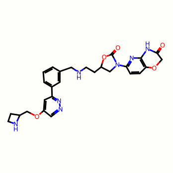 O=C1COc2ccc(N3CC(CCNCc4cccc(-c5cc(OCC6CCN6)cnn5)c4)OC3=O)nc2N1